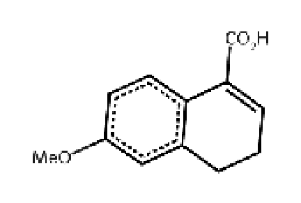 COc1ccc2c(c1)CCC=C2C(=O)O